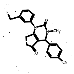 CN1C(=O)N(c2cccc(CF)c2)C2=C(C(=O)CC2)C1c1ccc(C#N)cc1